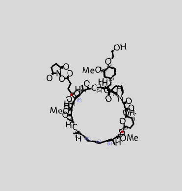 CO[C@H]1C[C@@H]2CC[C@@H](C)[C@@](O)(O2)C(=O)C(=O)N2CCCC3[C@H]2C(=O)O[C@@H](CC(=O)[C@H](C)/C=C(\C)[C@@H](OC(=O)CCC(=O)ON2C(=O)CCC2=O)[C@@H](OC)C(=O)[C@H](C)C[C@H](C)/C=C/C=C/C=C/1C)[C@H]3C[C@@H]1CC[C@@H](OCCO)[C@H](OC)C1